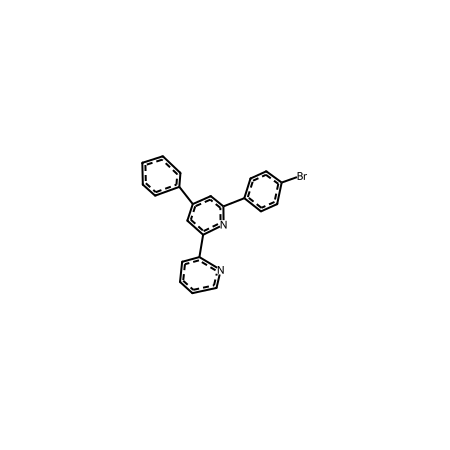 Brc1ccc(-c2cc(-c3ccccc3)cc(-c3ccccn3)n2)cc1